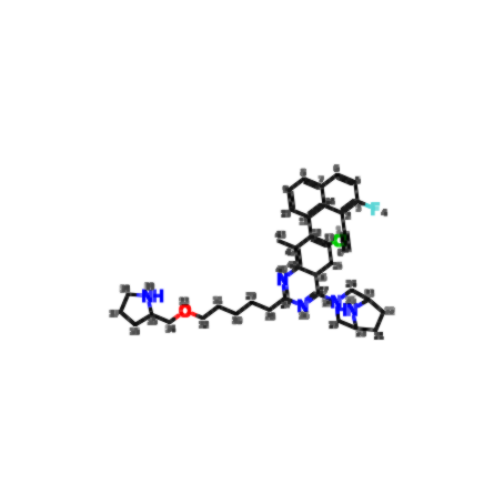 C#Cc1c(F)ccc2cccc(C3=C(Cl)CC4C(N5CC6CCC(C5)N6)=NC(CCCCCOCC5CCCN5)=NC4=C3C)c12